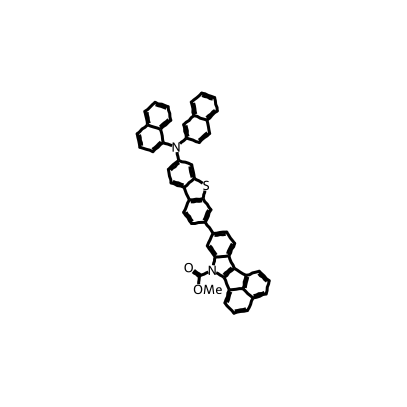 COC(=O)n1c2c(c3ccc(-c4ccc5c(c4)sc4cc(N(c6ccc7ccccc7c6)c6cccc7ccccc67)ccc45)cc31)-c1cccc3cccc-2c13